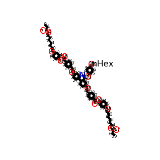 C=CC(=O)OCCCCCCOc1ccc(OC(=O)c2ccc(COc3ccc4c(c3)nc(Oc3ccc(OCCCCCC)cc3)c3cc(OCc5ccc(C(=O)Oc6ccc(OCCCCCCOC(=O)C=C)cc6)cc5)ccc34)cc2)cc1